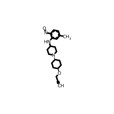 C#CCO[C@H]1CC[C@H](N2CCC(Nc3cc(C)ccc3N=O)CC2)CC1